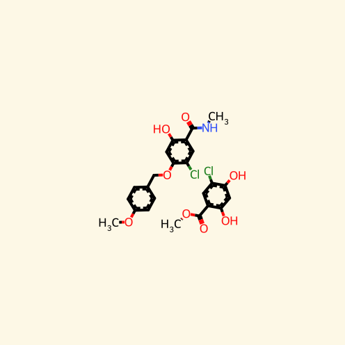 CNC(=O)c1cc(Cl)c(OCc2ccc(OC)cc2)cc1O.COC(=O)c1cc(Cl)c(O)cc1O